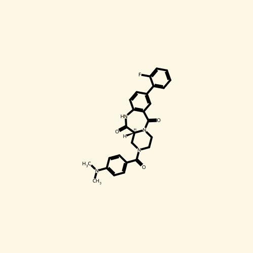 CN(C)c1ccc(C(=O)N2CCN3C(=O)c4cc(-c5ccccc5F)ccc4NC(=O)[C@H]3C2)cc1